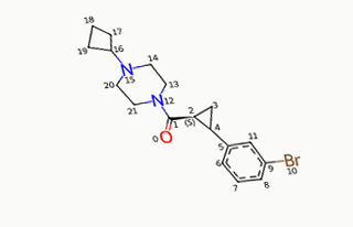 O=C([C@H]1CC1c1cccc(Br)c1)N1CCN(C2CCC2)CC1